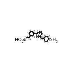 NC1CCC(Nc2cncc(-c3cccc(C=CC(=O)O)c3)n2)CC1